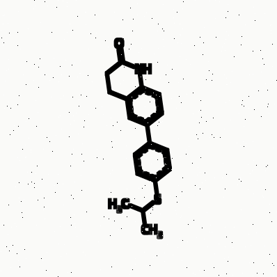 CC(C)Sc1ccc(-c2ccc3c(c2)CCC(=O)N3)cc1